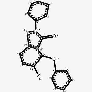 O=c1n(-c2ccccc2)nc2ccc(F)c(Oc3ccccc3)n12